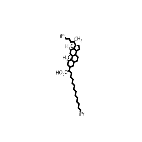 CC(C)CCCCCCCCCCCCCC(C(=O)O)C1CC[C@@]2(C)C(CCC3C2CC[C@@]2(C)C3CC[C@@H]2[C@H](C)CCCC(C)C)C1